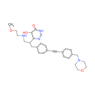 COCCNCC(Cc1ccc(C#Cc2ccc(CN3CCOCC3)cc2)cc1)c1nc[nH]c(=O)c1O